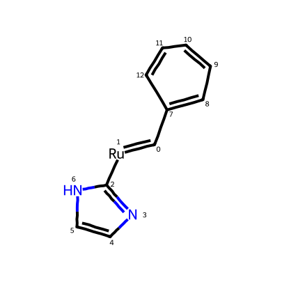 [CH](=[Ru][c]1ncc[nH]1)c1ccccc1